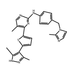 Cc1cnc(Nc2ccc(Cn3ccnc3C)cc2)nc1-c1ccc(-c2c(C)n[nH]c2C)s1